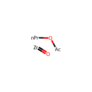 CCCOC(C)=O.[O]=[Zr]